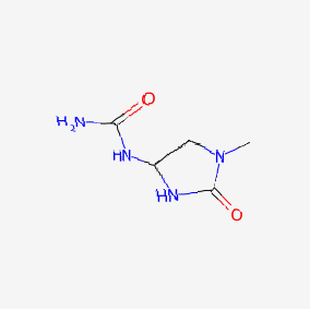 CN1CC(NC(N)=O)NC1=O